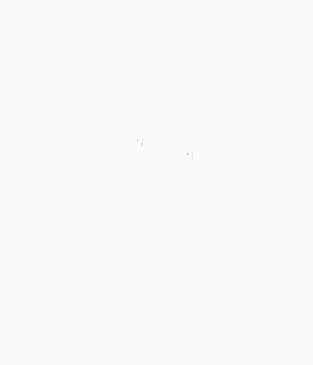 c1nc(C2CCCCCCC2)ncp1